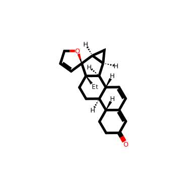 CC[C@]12CC[C@H]3[C@@H](C=CC4=CC(=O)CC[C@@H]43)[C@@H]1[C@@H]1C[C@@H]1[C@@]21C=CCO1